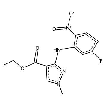 CCOC(=O)c1cn(C)nc1Nc1cc(F)ccc1[N+](=O)[O-]